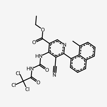 CCOC(=O)c1cnc(-c2cccc3cccc(C)c23)c(C#N)c1NC(=O)NC(=O)C(Cl)(Cl)Cl